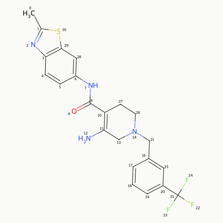 Cc1nc2ccc(NC(=O)C3=C(N)CN(Cc4cccc(C(F)(F)F)c4)CC3)cc2s1